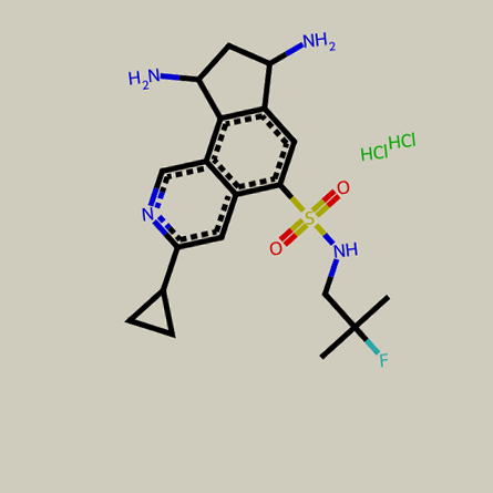 CC(C)(F)CNS(=O)(=O)c1cc2c(c3cnc(C4CC4)cc13)C(N)CC2N.Cl.Cl